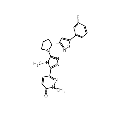 Cn1c(-c2ccc(=O)n(C)n2)nnc1N1CCC[C@@H]1c1cc(-c2cccc(F)c2)on1